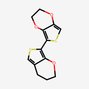 c1sc(-c2scc3c2OCCO3)c2c1CCCO2